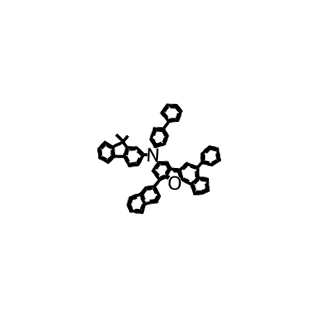 CC1(C)c2ccccc2-c2ccc(N(c3ccc(-c4ccccc4)cc3)c3cc(-c4ccc5ccccc5c4)c4oc5c6ccccc6c(-c6ccccc6)cc5c4c3)cc21